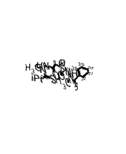 CC(C)C(=S)N(C)NC(=O)CS(=O)(=O)NN(C)C(=S)c1ccccc1